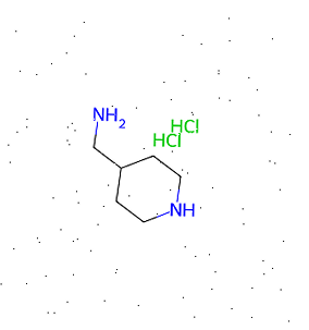 Cl.Cl.NCC1CCNCC1